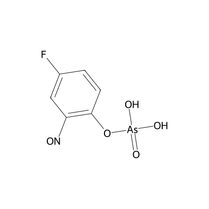 O=Nc1cc(F)ccc1O[As](=O)(O)O